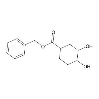 O=C(OCc1ccccc1)C1CCC(O)C(O)C1